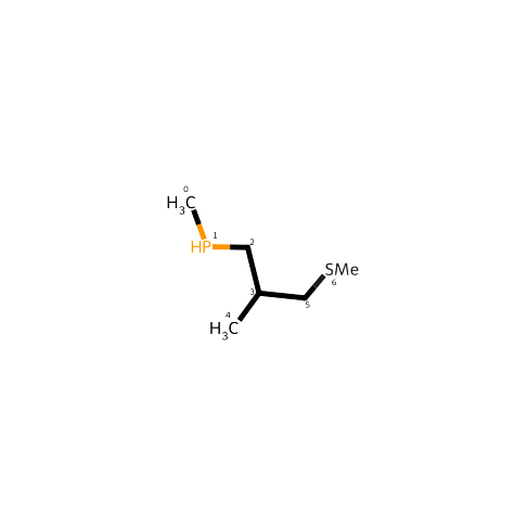 CPCC(C)CSC